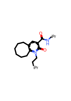 CC(C)CCn1c2c(cc(C(=O)NC(C)C)c1=O)CCCCCC2